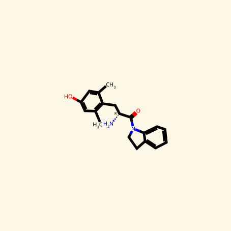 Cc1cc(O)cc(C)c1C[C@@H](N)C(=O)N1CCc2ccccc21